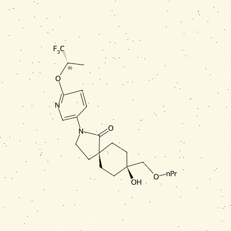 CCCOC[C@]1(O)CC[C@]2(CCN(c3ccc(O[C@@H](C)C(F)(F)F)nc3)C2=O)CC1